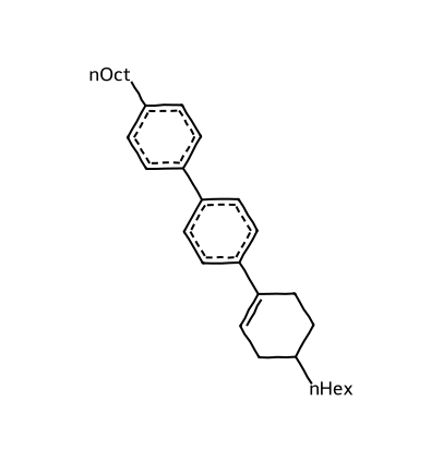 CCCCCCCCc1ccc(-c2ccc(C3=CCC(CCCCCC)CC3)cc2)cc1